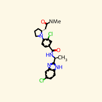 CNC(=O)C[C@H]1CCCN1c1ccc(C(=O)N[C@@H](C)c2nc3cc(Cl)ccc3[nH]2)cc1Cl